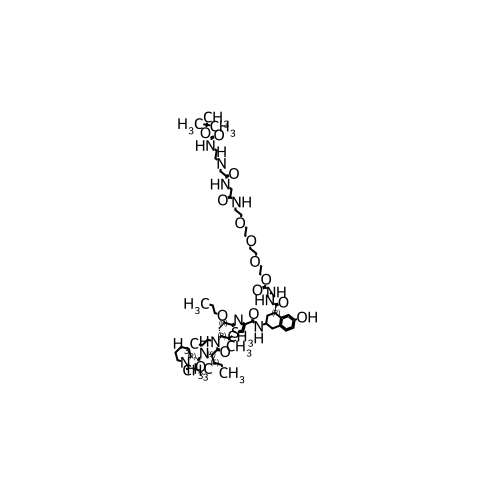 CCCO[C@H](C[C@H](C(C)C)N(CCC)C(=O)[C@@H](NC(=O)[C@H]1CCCCN1C)[C@@H](C)CC)c1nc(C(=O)NC2Cc3ccc(O)cc3[C@H](C(=O)NNC(=O)OCCOCCOCCOCCNC(=O)CNC(=O)CNCCNC(=O)OC(C)(C)C)C2)cs1